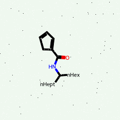 CCCCCCCC(CCCCCC)NC(=O)C1=CC=CC1